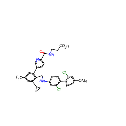 COc1ccc(-c2ccc(NCc3c(-c4ccc(C(=O)NCCC(=O)O)nc4)cc(C(F)(F)F)cc3C3CC3)cc2Cl)c(Cl)c1